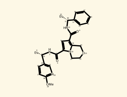 CC[C@H](NC(=O)c1cc(C(=O)N[C@H](CC)c2ccccc2)c2n1CCOC2)c1ccc(OC)nc1